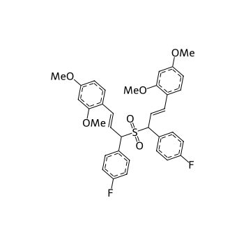 COc1ccc(C=CC(c2ccc(F)cc2)S(=O)(=O)C(C=Cc2ccc(OC)cc2OC)c2ccc(F)cc2)c(OC)c1